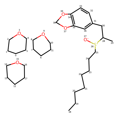 C1CCOCC1.C1CCOCC1.C1CCOCC1.CCCCCCCC[S+]([O-])C(C)Cc1ccc2c(c1)OCO2